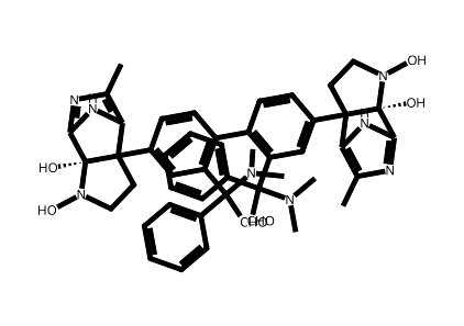 Cc1nc2[nH]c1C1(c3ccc(-c4ccc(C56CCN(O)[C@@]5(O)c5nc(C)c6[nH]5)cc4C(C=O)(c4ccccc4)N(C)C)c(C(C=O)(c4ccccc4)N(C)C)c3)CCN(O)[C@@]21O